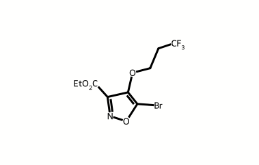 CCOC(=O)c1noc(Br)c1OCCC(F)(F)F